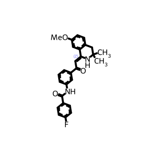 COc1ccc2c(c1)/C(=C/C(=O)c1cccc(NC(=O)c3ccc(F)cc3)c1)NC(C)(C)C2